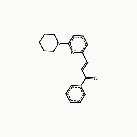 O=C(C=Cc1cccc(N2CCCCC2)n1)c1cc[c]cc1